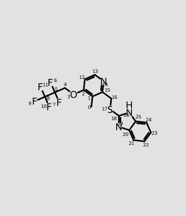 Cc1c(OCC(F)(F)C(F)(F)F)ccnc1CSc1nc2ccccc2[nH]1